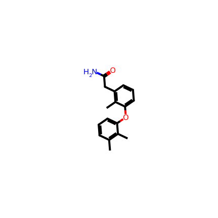 Cc1cccc(Oc2cccc(CC(N)=O)c2C)c1C